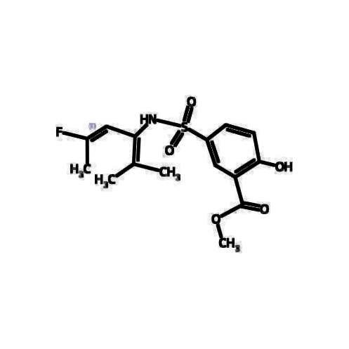 COC(=O)c1cc(S(=O)(=O)NC(/C=C(\C)F)=C(C)C)ccc1O